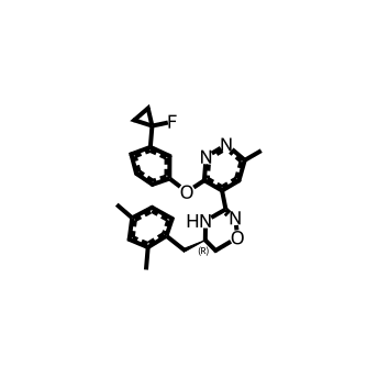 Cc1ccc(C[C@@H]2CON=C(c3cc(C)nnc3Oc3cccc(C4(F)CC4)c3)N2)c(C)c1